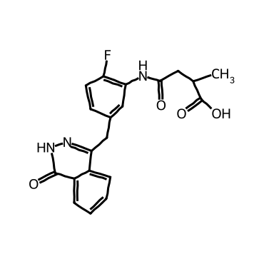 CC(CC(=O)Nc1cc(Cc2n[nH]c(=O)c3ccccc23)ccc1F)C(=O)O